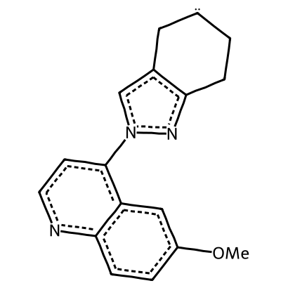 COc1ccc2nccc(-n3cc4c(n3)CC[C]C4)c2c1